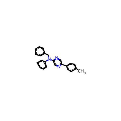 Cc1ccc(-c2cnc(N(Cc3ccccc3)c3ccccc3)cn2)cc1